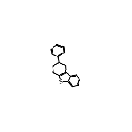 c1ccc(C2CCc3sc4ccccc4c3C2)cc1